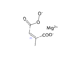 C/C(=C/C(=O)O[O-])C(=O)[O-].[Mg+2]